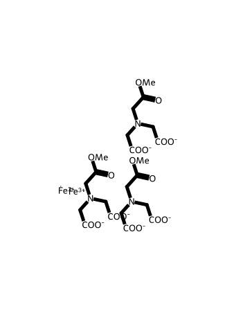 COC(=O)CN(CC(=O)[O-])CC(=O)[O-].COC(=O)CN(CC(=O)[O-])CC(=O)[O-].COC(=O)CN(CC(=O)[O-])CC(=O)[O-].[Fe+3].[Fe+3]